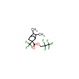 CC1C2CC(C1C)C(C(=O)OCC(F)(F)C(F)(F)F)(C(F)(F)F)C2